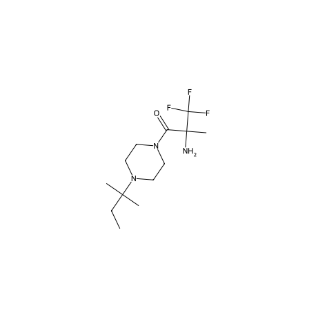 CCC(C)(C)N1CCN(C(=O)C(C)(N)C(F)(F)F)CC1